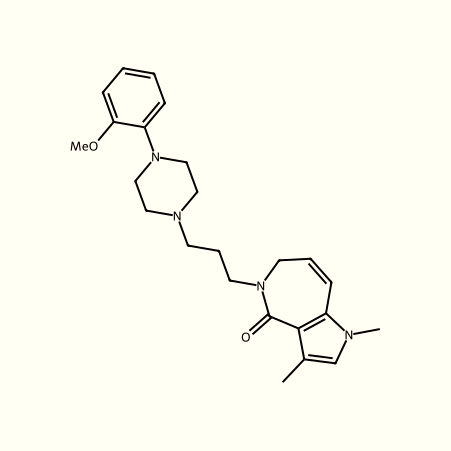 COc1ccccc1N1CCN(CCCN2CC=Cc3c(c(C)cn3C)C2=O)CC1